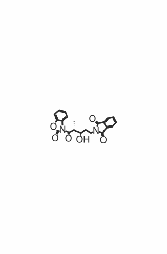 C[C@@H](C(=O)n1c(=O)oc2ccccc21)[C@@H](O)CCN1C(=O)c2ccccc2C1=O